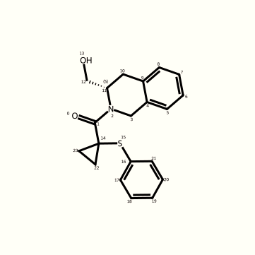 O=C(N1Cc2ccccc2C[C@H]1CO)C1(Sc2ccccc2)CC1